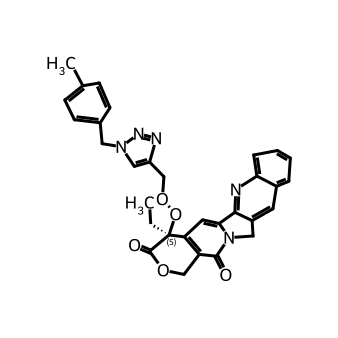 CC[C@@]1(OOCc2cn(Cc3ccc(C)cc3)nn2)C(=O)OCc2c1cc1n(c2=O)Cc2cc3ccccc3nc2-1